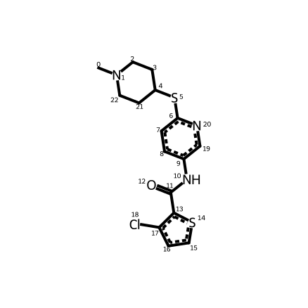 CN1CCC(Sc2ccc(NC(=O)c3sccc3Cl)cn2)CC1